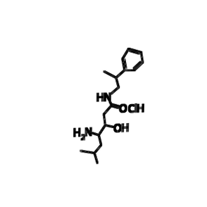 CC(C)CC(N)C(O)CC(=O)NCC(C)c1ccccc1.Cl